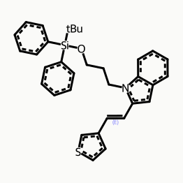 CC(C)(C)[Si](OCCCn1c(/C=C/c2ccsc2)cc2ccccc21)(c1ccccc1)c1ccccc1